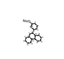 COc1cccc(-c2cc3ccccc3c3ccccc23)n1